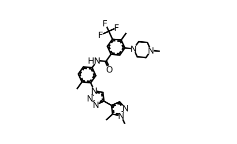 Cc1ccc(NC(=O)c2cc(N3CCN(C)CC3)c(C)c(C(F)(F)F)c2)cc1-n1cc(-c2cnn(C)c2C)nn1